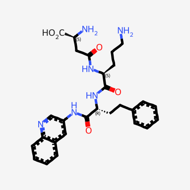 NCCC[C@H](NC(=O)C[C@H](N)C(=O)O)C(=O)N[C@H](CCc1ccccc1)C(=O)Nc1cnc2ccccc2c1